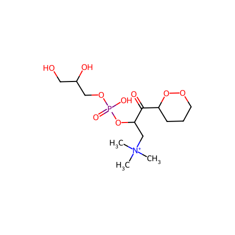 C[N+](C)(C)CC(OP(=O)(O)OCC(O)CO)C(=O)C1CCCOO1